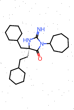 N=C1N[C@](CCC2CCCCC2)(CC2CCCCC2)C(=O)N1C1CCCCCC1